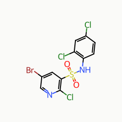 O=S(=O)(Nc1ccc(Cl)cc1Cl)c1cc(Br)cnc1Cl